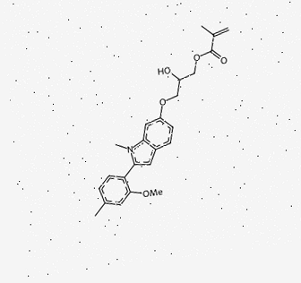 C=C(C)C(=O)OCC(O)COc1ccc2cc(-c3ccc(C)cc3OC)n(C)c2c1